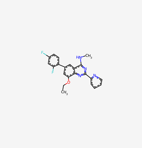 CCOc1cc(-c2ccc(F)cc2F)cc2c(NC)nc(-c3ccccn3)nc12